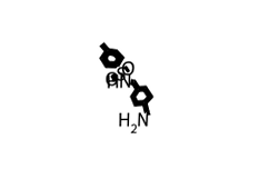 Cc1ccc(S(=O)(=O)NCC2CCC(CN)CC2)cc1